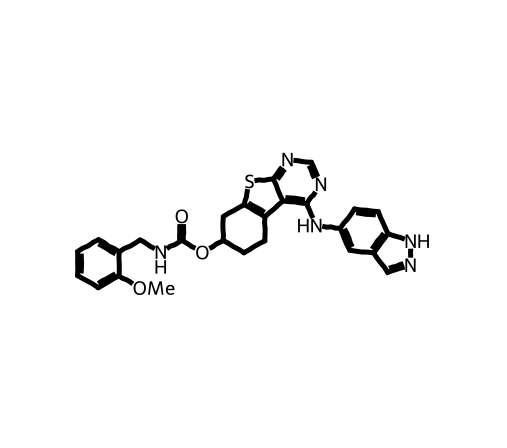 COc1ccccc1CNC(=O)OC1CCc2c(sc3ncnc(Nc4ccc5[nH]ncc5c4)c23)C1